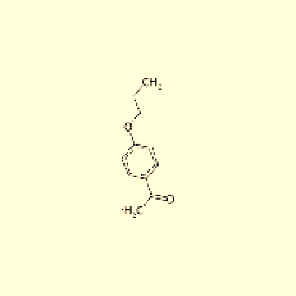 [CH2]C(=O)c1ccc(OCCC)cc1